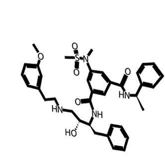 COc1cccc(CCNC[C@@H](O)[C@H](Cc2ccccc2)NC(=O)c2cc(C(=O)N[C@H](C)c3ccccc3)cc(N(C)S(C)(=O)=O)c2)c1